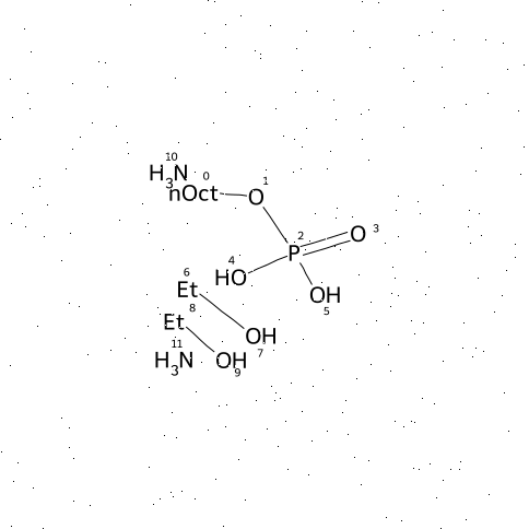 CCCCCCCCOP(=O)(O)O.CCO.CCO.N.N